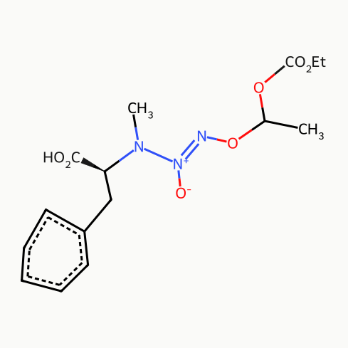 CCOC(=O)OC(C)ON=[N+]([O-])N(C)[C@@H](Cc1ccccc1)C(=O)O